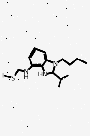 CCCCN1c2cccc(NCSI)c2NC1C(C)C